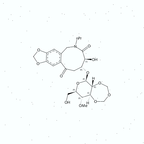 CCCN1Cc2cc3c(cc2C(=O)C[C@@H](O[C@@H]2O[C@H](CO)[C@@H](OC)[C@@H]4OCOCO[C@@H]24)[C@H](O)C1=O)OCO3